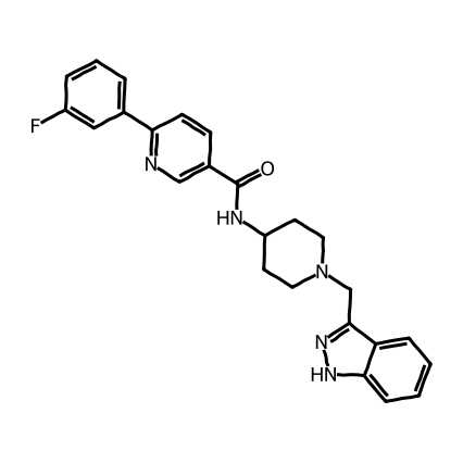 O=C(NC1CCN(Cc2n[nH]c3ccccc23)CC1)c1ccc(-c2cccc(F)c2)nc1